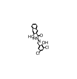 O=C(NN=Cc1cc(Cl)cc(Cl)c1O)c1cc2ccccc2cc1O